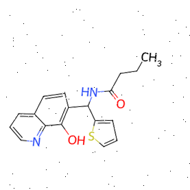 CCCC(=O)NC(c1cccs1)c1ccc2cccnc2c1O